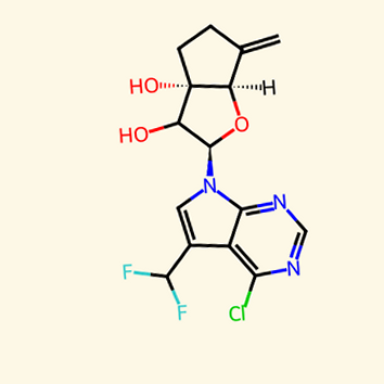 C=C1CC[C@]2(O)C(O)[C@H](n3cc(C(F)F)c4c(Cl)ncnc43)O[C@H]12